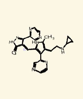 Cc1[nH]c(/C=C2/C(=O)NN=C2c2cnccn2)c(-c2cnccn2)c1CCNC1CC1